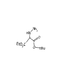 CCOC(=O)C(NN)C(=O)OC(C)(C)C